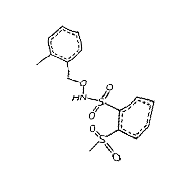 Cc1ccccc1CONS(=O)(=O)c1ccccc1S(C)(=O)=O